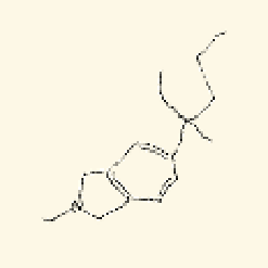 CCCC(C)(CC)c1ccc2c(c1)CN(C)C2